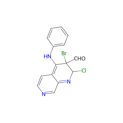 O=CC1(Br)C(Nc2ccccc2)=c2ccncc2=NC1Cl